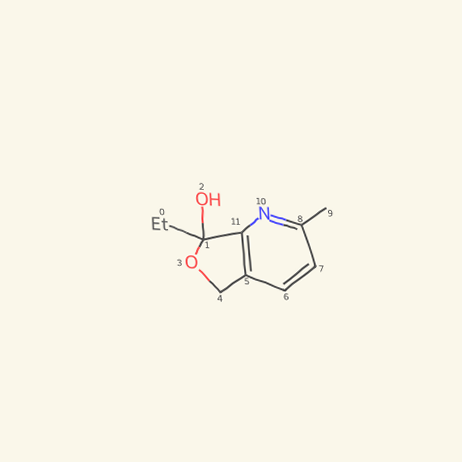 CCC1(O)OCc2ccc(C)nc21